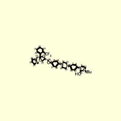 CCC(C)N1N=CN(c2ccc(N3CCN(c4ccc(OC[C@@H]5CO[C@@](Cn6cccn6)(c6ccccc6C(F)(F)F)O5)cc4)CC3)cc2)C1O